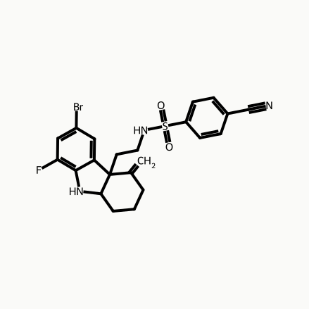 C=C1CCCC2Nc3c(F)cc(Br)cc3C12CCNS(=O)(=O)c1ccc(C#N)cc1